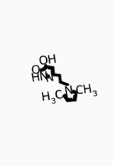 Cc1ccc(C)n1CCCc1cc(O)c(=O)[nH]n1